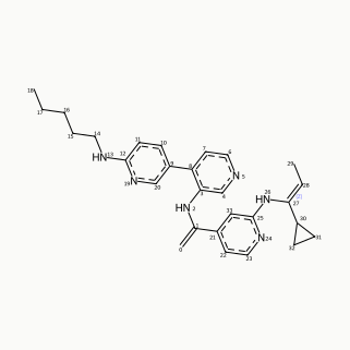 C=C(Nc1cnccc1-c1ccc(NCCCCC)nc1)c1ccnc(N/C(=C\C)C2CC2)c1